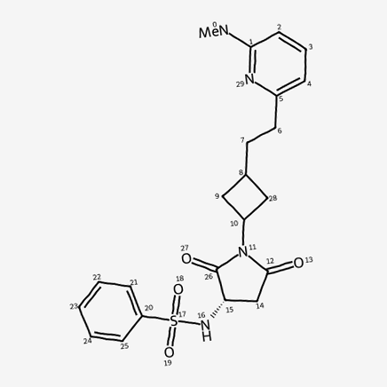 CNc1cccc(CCC2CC(N3C(=O)C[C@H](NS(=O)(=O)c4ccccc4)C3=O)C2)n1